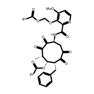 COc1ccnc(C(=O)N[C@H]2CC(=O)C(=O)[C@H](Cc3ccccc3)[C@H](OC(=O)C(C)C)[C@H](C)C(=O)C2=O)c1OCOC(=O)C(C)C